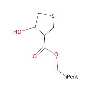 CCCC(C)COC(=O)C1CSCC1O